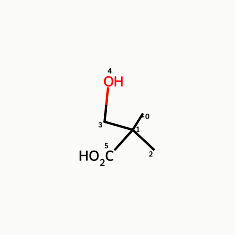 [CH2]C(C)(CO)C(=O)O